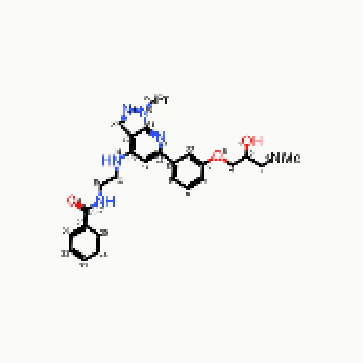 CNCC(O)COc1cccc(-c2cc(NCCNC(=O)c3ccccc3)c3cnn(C(C)C)c3n2)c1